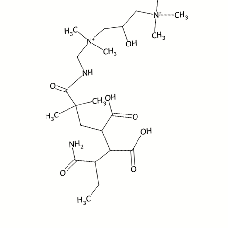 CCC(C(N)=O)C(C(=O)O)C(CC(C)(C)C(=O)NC[N+](C)(C)CC(O)C[N+](C)(C)C)C(=O)O